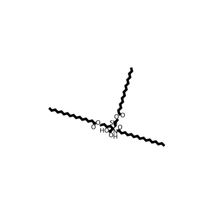 CCCCCCCCCCCCCCCC(=O)N[C@](CCCOC(=O)CCCCCCCCCCCCCCC)(C(=O)O)[C@@H](S)CCCOC(=O)CCCCCCCCCCCCCCC